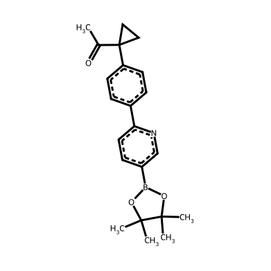 CC(=O)C1(c2ccc(-c3ccc(B4OC(C)(C)C(C)(C)O4)cn3)cc2)CC1